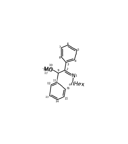 CCCCCCN=C(c1ccccc1)C(O)c1ccccc1.[Mn]